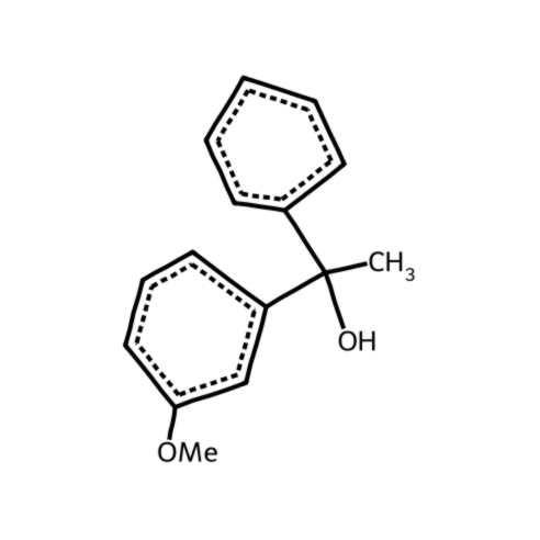 COc1cccc(C(C)(O)c2ccccc2)c1